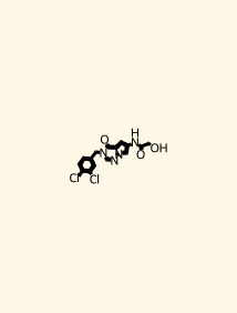 O=C(CO)Nc1cc2c(=O)n(Cc3ccc(Cl)c(Cl)c3)cnn2c1